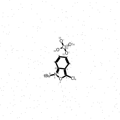 CC(C)(C)[n+]1oc(Cl)c2ccccc21.[O-][Cl+3]([O-])([O-])[O-]